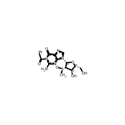 CC(C)C(=O)n1c(N)nc2c(ncn2[C@@H]2O[C@H](CO)[C@@H](O)C2[S+](C)[O-])c1=O